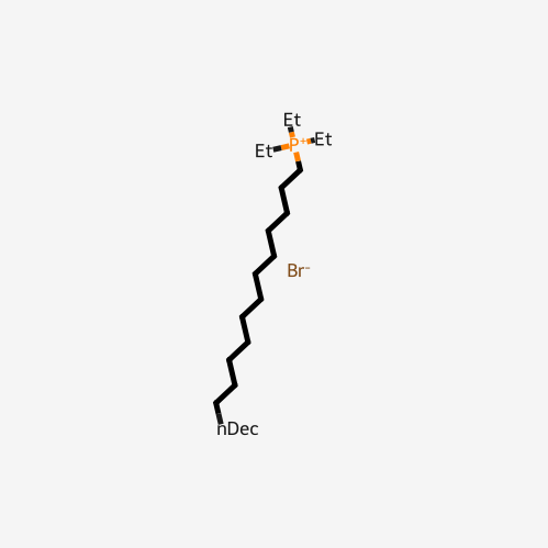 CCCCCCCCCCCCCCCCCCCCCC[P+](CC)(CC)CC.[Br-]